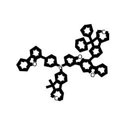 CC1(C)c2ccccc2-c2ccc(N(c3ccc(-c4cccc5c4oc4ccccc45)cc3)c3ccc4oc5c(-c6ccc7c(c6)C(c6ccccc6)(c6ccccc6)c6ccccc6-7)c6c(cc5c4c3)oc3ccccc36)cc21